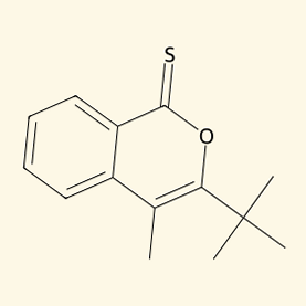 Cc1c(C(C)(C)C)oc(=S)c2ccccc12